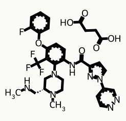 CNC[C@@H]1CN(c2c(NC(=O)c3ccn(-c4ccnnc4)n3)ccc(Oc3ccccc3F)c2C(F)(F)F)CCN1C.O=C(O)CCC(=O)O